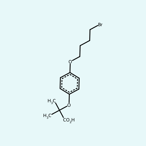 CC(C)(Oc1ccc(OCCCCBr)cc1)C(=O)O